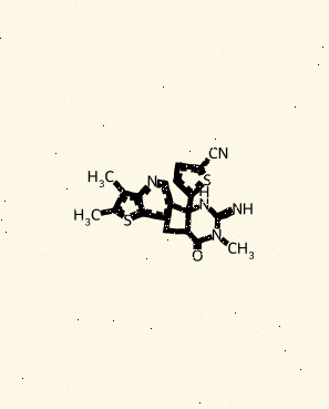 Cc1sc2c3c(cnc2c1C)C1(c2ccc(C#N)s2)NC(=N)N(C)C(=O)C1C3